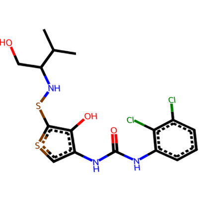 CC(C)C(CO)NSc1scc(NC(=O)Nc2cccc(Cl)c2Cl)c1O